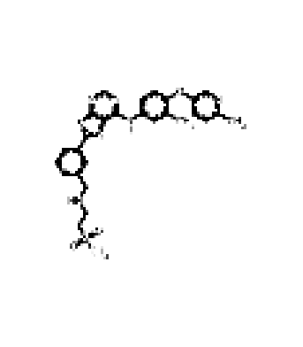 Cc1ccc(Oc2ccc(Nc3ncnc4sc(-c5cccc(CNCCS(C)(=O)=O)c5)nc34)cc2C)cn1